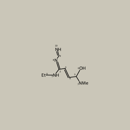 CCNC(/C=C/C(O)NC)=N/C=N